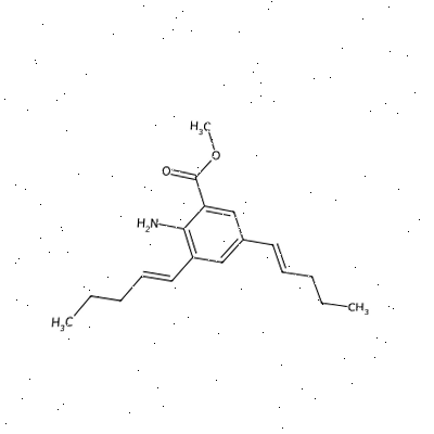 CCCC=Cc1cc(C=CCCC)c(N)c(C(=O)OC)c1